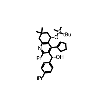 CC(C)c1ccc([C@@H](O)c2c(C(C)C)nc3c(c2C2=CCCC2)[C@@H](O[Si](C)(C)C(C)(C)C)CC(C)(C)C3)cc1